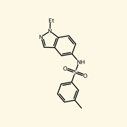 CCn1ncc2cc(NS(=O)(=O)c3cccc(C)c3)ccc21